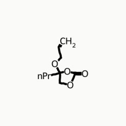 C=CCOC1(CCC)COC(=O)O1